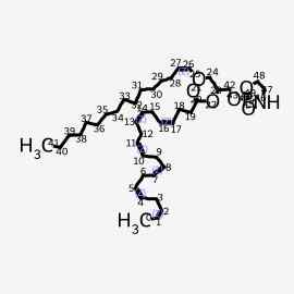 C/C=C\C/C=C\C/C=C\C/C=C\C/C=C\C/C=C\CCC(=O)OC(CO/C=C\CCCCCCCCCCCCCC)COP1(=O)NCCO1